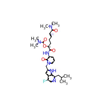 CC(C)Cc1ncc(F)c2cc(Cn3cccc(NC(=O)[C@H](CC/C=C/C(=O)N(C)C)OC(=O)N(C)C)c3=O)[nH]c12